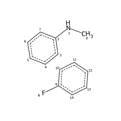 CNc1ccccc1.Fc1ccccc1